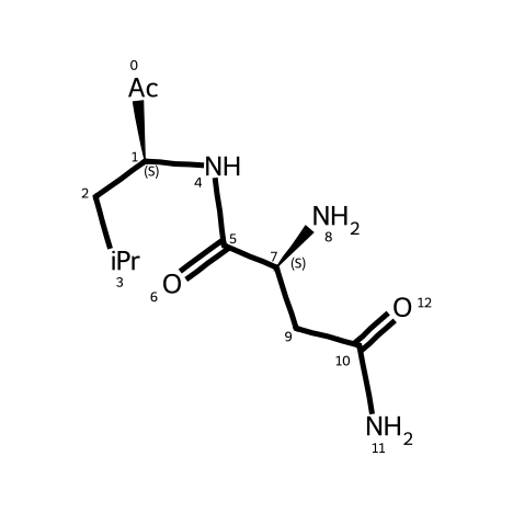 CC(=O)[C@H](CC(C)C)NC(=O)[C@@H](N)CC(N)=O